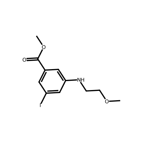 COCCNc1cc(I)cc(C(=O)OC)c1